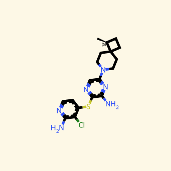 C[C@H]1CCC12CCN(c1cnc(Sc3ccnc(N)c3Cl)c(N)n1)CC2